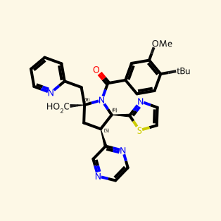 COc1cc(C(=O)N2[C@@H](c3nccs3)[C@@H](c3cnccn3)C[C@@]2(Cc2ccccn2)C(=O)O)ccc1C(C)(C)C